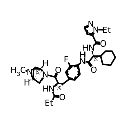 CCC(=O)N[C@H](Cc1ccc(NC(=O)[C@@H](NC(=O)c2ccnn2CC)C2CCCCC2)c(F)c1)C(=O)N1C[C@@H]2C[C@H]1CN2C